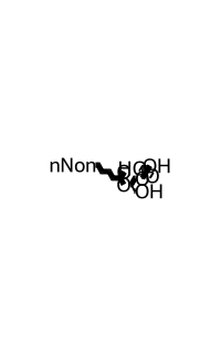 CCCCCCCCCCCCCC(=O)O[C@H](CO)COP(=O)(O)O